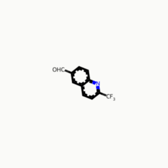 O=Cc1ccc2nc(C(F)(F)F)ccc2c1